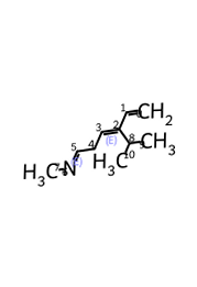 C=C/C(=C/C/C=N/C)C(C)C